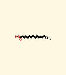 CCCC/C=C/CCCCCCCCC(=O)O